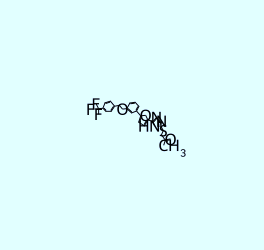 CC(=O)CSc1nnc(-c2ccc(-c3cccc(OCc4ccc(C(F)(F)F)cc4)c3)o2)[nH]1